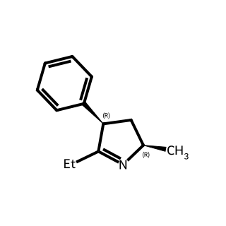 CCC1=N[C@H](C)C[C@@H]1c1ccccc1